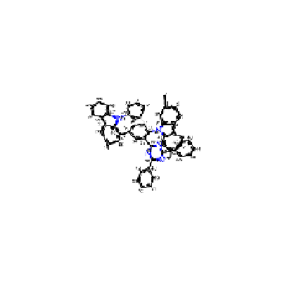 Cc1ccc2c3ccc(C)cc3n(-c3ccc(-c4cccc5c6ccccc6n(-c6ccccc6)c45)cc3-c3nc(-c4ccccc4)nc(-c4ccccc4)n3)c2c1